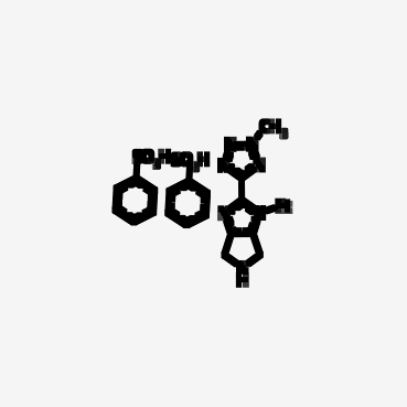 CCn1c(-c2nnn(C)n2)nc2c1CNC2.O=S(=O)(O)c1ccccc1.O=S(=O)(O)c1ccccc1